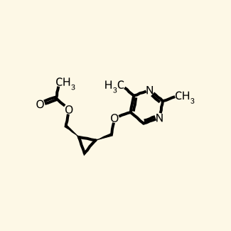 CC(=O)OC[C@@H]1C[C@@H]1COc1cnc(C)nc1C